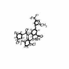 Cn1nc(C(F)F)cc1-c1cc(NC(=O)c2cc(F)cc(C(F)(F)F)c2)c2c(c1)C(=O)NC2c1cc(F)ccc1Cl